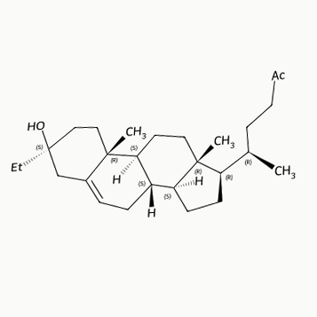 CC[C@]1(O)CC[C@@]2(C)C(=CC[C@H]3[C@@H]4CC[C@H]([C@H](C)CCC(C)=O)[C@@]4(C)CC[C@@H]32)C1